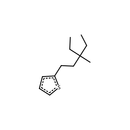 CCC(C)(CC)CCc1cccs1